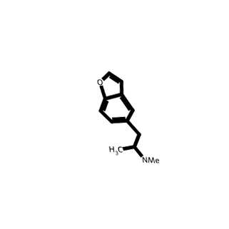 CNC(C)Cc1ccc2occc2c1